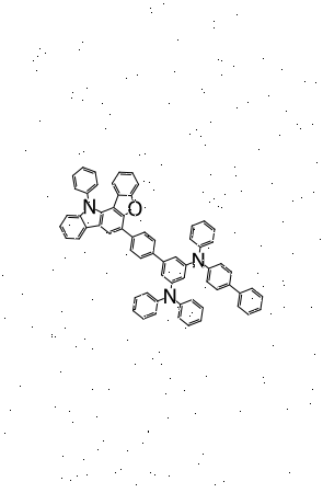 c1ccc(-c2ccc(N(c3ccccc3)c3cc(-c4ccc(-c5cc6c7ccccc7n(-c7ccccc7)c6c6c5oc5ccccc56)cc4)cc(N(c4ccccc4)c4ccccc4)c3)cc2)cc1